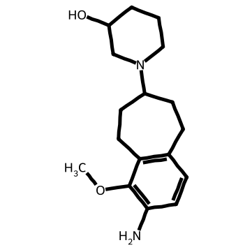 COc1c(N)ccc2c1CCC(N1CCCC(O)C1)CC2